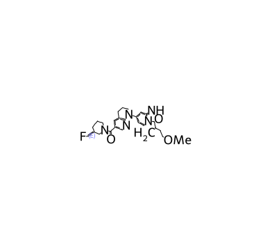 C=C(CCOC)C(=O)n1ccc(N2CCCc3cc(C(=O)N4CCC/C(=C\F)C4)cnc32)cc1=N